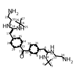 CC(C)(C)NC(=Cc1ccc(C(=O)c2ccc(C=C(NCCN)NC(C)(C)C)cc2)cc1)NCCN